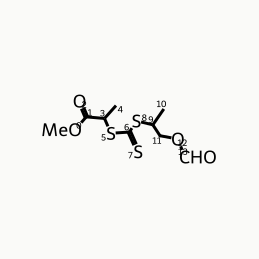 COC(=O)C(C)SC(=S)SC(C)COC=O